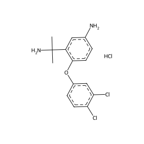 CC(C)(N)c1cc(N)ccc1Oc1ccc(Cl)c(Cl)c1.Cl